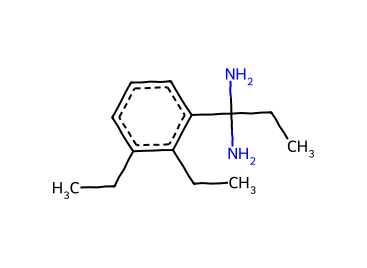 CCc1cccc(C(N)(N)CC)c1CC